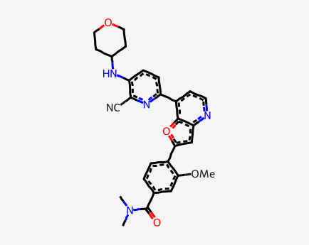 COc1cc(C(=O)N(C)C)ccc1-c1cc2nccc(-c3ccc(NC4CCOCC4)c(C#N)n3)c2o1